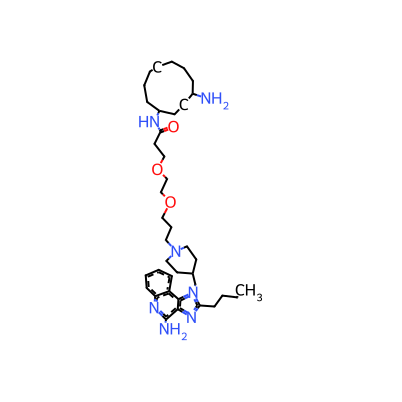 CCCCc1nc2c(N)nc3ccccc3c2n1CC1CCN(CCCOCCOCCC(=O)NC2CCCCCCCC(N)CC2)CC1